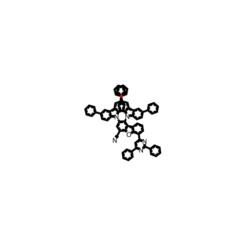 N#Cc1cc(-n2c3ccc(-c4ccccc4)cc3c3cc(-c4ccccc4)ccc32)c(-n2c3ccc(-c4ccccc4)cc3c3cc(-c4ccccc4)ccc32)c2c1oc1c(-c3cc(-c4ccccc4)nc(-c4ccccc4)n3)cccc12